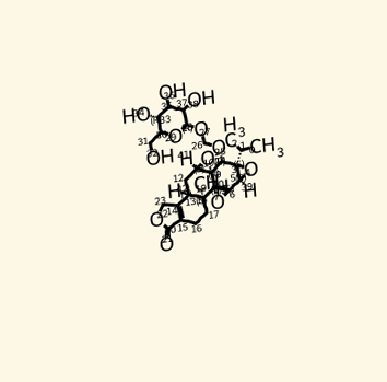 CC(C)[C@]12O[C@H]1[C@@H]1O[C@]13[C@]1(O[C@H]1C[C@H]1C4=C(CC[C@@]13C)C(=O)OC4)[C@@H]2OCO[C@H]1OC(CO)[C@H](O)C(O)C1O